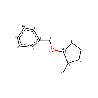 CC1CCC[C@@H]1OCc1ccccc1